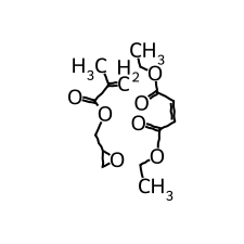 C=C(C)C(=O)OCC1CO1.CCOC(=O)/C=C\C(=O)OCC